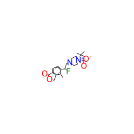 Cc1c(C(F)CN2CC[N+](C(=O)[O-])(C(C)(C)C)CC2)ccc2c1COC2=O